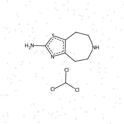 ClC(Cl)Cl.Nc1nc2c(s1)CCNCC2